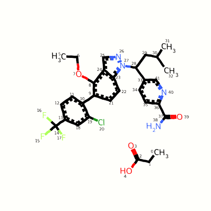 CCC(=O)O.CCOc1c(-c2ccc(C(F)(F)F)cc2Cl)ccc2c1cnn2C(CC(C)C)c1ccc(C(N)=O)nc1